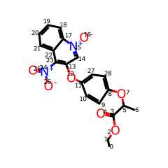 CCOC(=O)C(C)Oc1ccc(Oc2c[n+]([O-])c3ccccc3c2[N+](=O)[O-])cc1